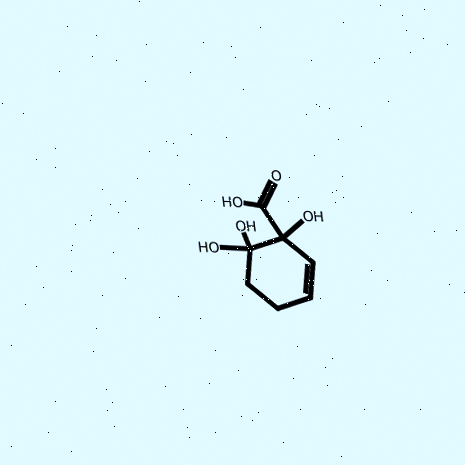 O=C(O)C1(O)C=CCCC1(O)O